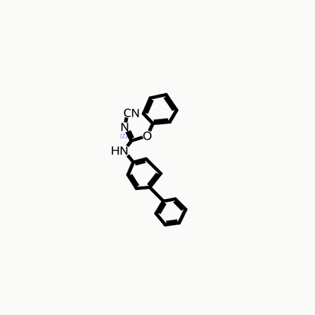 N#C/N=C(/Nc1ccc(-c2ccccc2)cc1)Oc1ccccc1